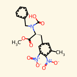 COC(=O)[C@@H](Cc1cc(C)c([N+](=O)[O-])c([N+](=O)[O-])c1)N(Cc1ccccc1)C(=O)O